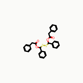 O=C(Cc1ccccc1)OC(SSC(OC(=O)Cc1ccccc1)c1ccccc1)c1ccccc1